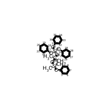 C[Si](C)(Oc1ccccc1)O[Si](C)(C)O[Si](Oc1ccccc1)(Oc1ccccc1)Oc1ccccc1